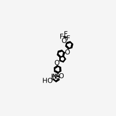 O=[SH]1(c2ccc(O[C@@H]3CCc4c(Oc5cccc(OC(F)(F)F)c5)cccc43)cc2)C=CC(O)=N1